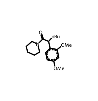 CCCCC(C(=O)N1CCCCC1)c1ccc(OC)cc1OC